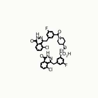 CCOC1CCN(C(=O)c2cc(F)cc(Cc3n[nH]c(=O)c4cccc(Cl)c34)c2)CC1.O=C(O)c1cc(F)cc(Cc2n[nH]c(=O)c3cccc(Cl)c23)c1